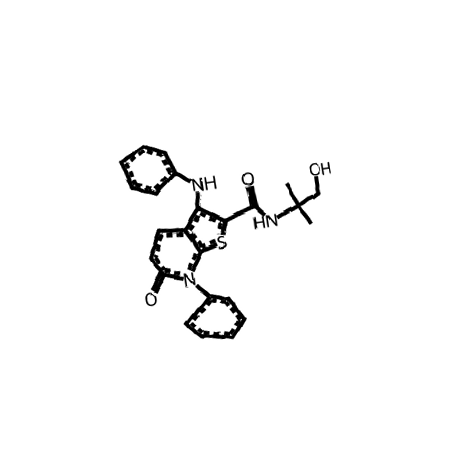 CC(C)(CO)NC(=O)c1sc2c(ccc(=O)n2-c2ccccc2)c1Nc1ccccc1